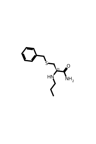 CCCN[C@@H](CSCc1ccccc1)C(N)=O